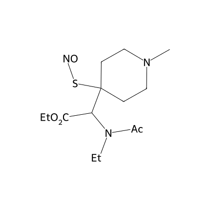 CCOC(=O)C(N(CC)C(C)=O)C1(SN=O)CCN(C)CC1